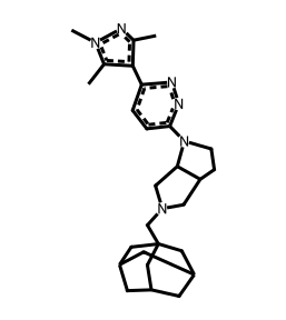 Cc1nn(C)c(C)c1-c1ccc(N2CCC3CN(CC45CC6CC(CC(C6)C4)C5)CC32)nn1